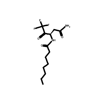 CCCCCCCC(=O)N[C@H](CC(N)=O)C(=O)C(F)(F)F